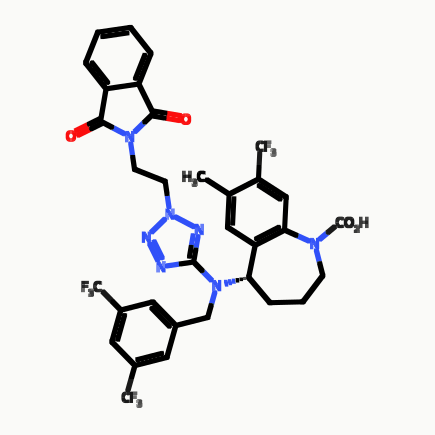 Cc1cc2c(cc1C(F)(F)F)N(C(=O)O)CCC[C@@H]2N(Cc1cc(C(F)(F)F)cc(C(F)(F)F)c1)c1nnn(CCN2C(=O)c3ccccc3C2=O)n1